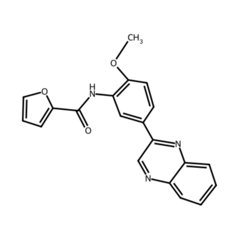 COc1ccc(-c2cnc3ccccc3n2)cc1NC(=O)c1ccco1